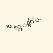 CCCCCCCCOc1ccc(C2CCC(C(=O)Oc3ccc(-c4ccc(C)cc4)c(F)c3F)CC2)c(F)c1F